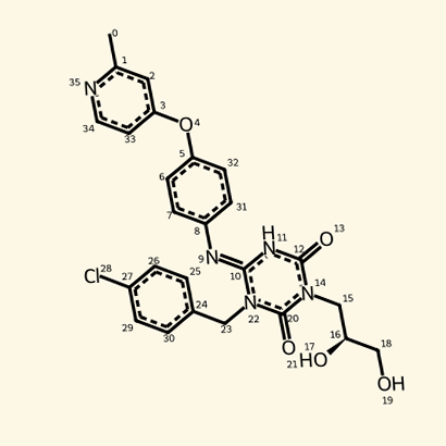 Cc1cc(Oc2ccc(/N=c3\[nH]c(=O)n(C[C@H](O)CO)c(=O)n3Cc3ccc(Cl)cc3)cc2)ccn1